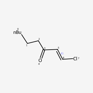 CCCCCCC(=O)/C=C/Cl